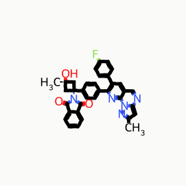 Cc1cc2ncc3cc(-c4ccc(F)cc4)c(-c4ccc([C@]5(N6C(=O)c7ccccc7C6=O)C[C@](C)(O)C5)cc4)nc3n2n1